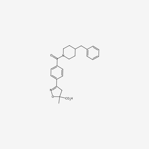 CC1(C(=O)O)CC(c2ccc(C(=O)N3CCC(Cc4ccccc4)CC3)cc2)=NO1